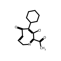 CC(=O)C1=N/C/C=C/C(=O)/C(C2CCCCC2)=C\1Cl